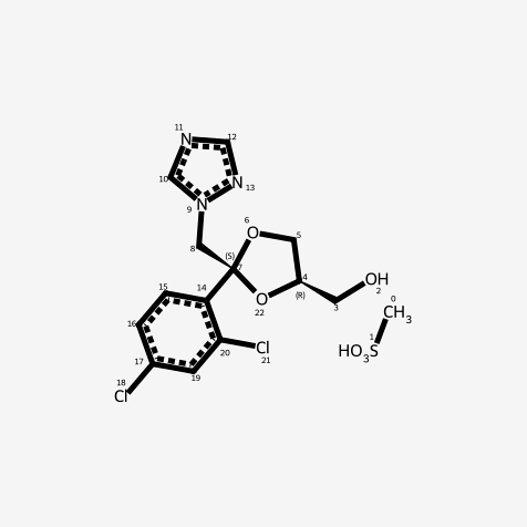 CS(=O)(=O)O.OC[C@@H]1CO[C@@](Cn2cncn2)(c2ccc(Cl)cc2Cl)O1